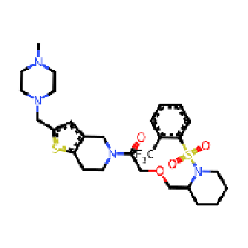 CN1CCN(Cc2cc3c(s2)CCN(C(=O)COCC2CCCCN2S(=O)(=O)c2ccccc2C(F)(F)F)C3)CC1